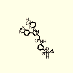 Cc1cccc(-n2nc(CC(=O)Nc3cccc(S(=O)(=O)NC4CC4)c3)cc2-c2ccc3ncsc3c2)n1